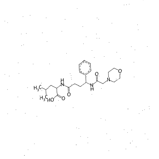 CC(C)CC(NC(=O)CCC(NC(=O)CN1CCOCC1)c1ccccc1)C(=O)O